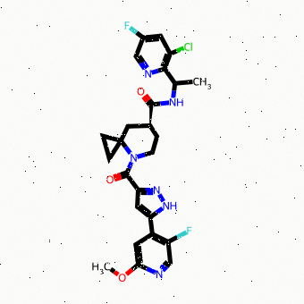 COc1cc(-c2cc(C(=O)N3CC[C@H](C(=O)NC(C)c4ncc(F)cc4Cl)CC34CC4)n[nH]2)c(F)cn1